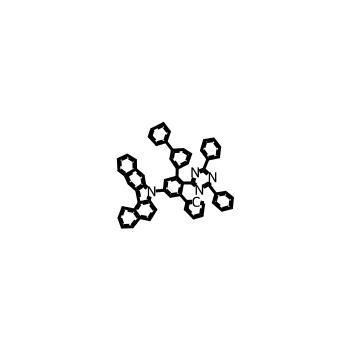 c1ccc(-c2cccc(-c3cc(-n4c5cc6ccccc6cc5c5c6ccccc6ccc54)cc(-c4ccccc4)c3-c3nc(-c4ccccc4)nc(-c4ccccc4)n3)c2)cc1